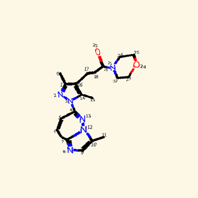 Cc1nn(-c2ccc3ncc(C)n3n2)c(C)c1CCC(=O)N1CCOCC1